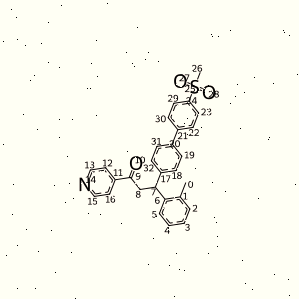 Cc1ccccc1C(CC(=O)c1ccncc1)c1ccc(-c2ccc(S(C)(=O)=O)cc2)cc1